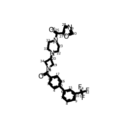 O=C(c1ccc(-c2cccc(C(F)(F)F)c2)cc1)N1CC(N2CCN(C(=O)c3cnco3)CC2)C1